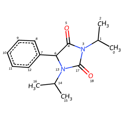 CC(C)N1C(=O)C(c2ccccc2)N(C(C)C)C1=O